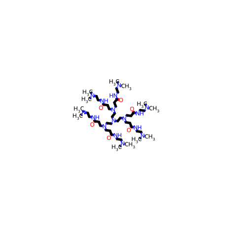 CN(C)CCNC(=O)CCN(CCC(=O)NCCN(C)C)CCN(CCN(CCC(=O)NCCN(C)C)CCC(=O)NCCN(C)C)CCN(CCC(=O)NCCN(C)C)CCC(=O)NCCN(C)C